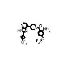 Nc1cc(OC(F)(F)F)ccc1C(=O)N1CCC(c2ccnc3[nH]c(C45CC(C(F)(F)F)(C4)C5)nc23)CC1